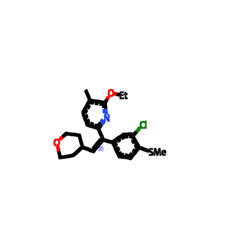 CCOc1nc(/C(=C\C2CCOCC2)c2ccc(SC)c(Cl)c2)ccc1C